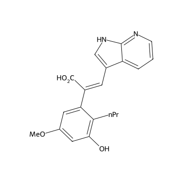 CCCc1c(O)cc(OC)cc1C(=Cc1c[nH]c2ncccc12)C(=O)O